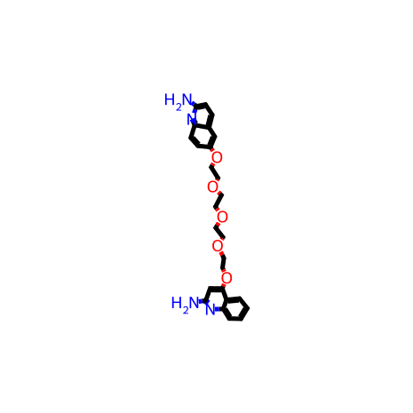 Nc1ccc2cc(OCCOCCOCCOCCOc3cc(N)nc4ccccc34)ccc2n1